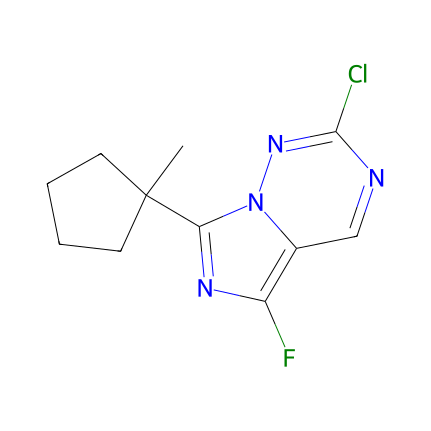 CC1(c2nc(F)c3cnc(Cl)nn23)CCCC1